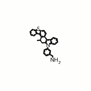 CC1Cc2c(c3ccccc3n2-c2cccc(CN)c2)-c2ccc3sc4ccccc4c3c21